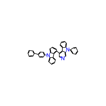 c1ccc(-c2ccc(-n3c4ccccc4c4c(-c5cncc6c5c5ccccc5n6-c5ccccc5)cccc43)cc2)cc1